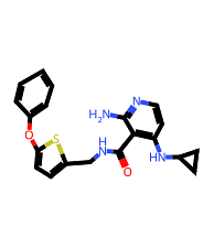 Nc1nccc(NC2CC2)c1C(=O)NCc1ccc(Oc2ccccc2)s1